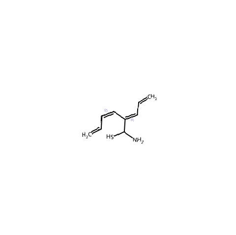 C=C/C=C\C(=C/C=C)C(N)S